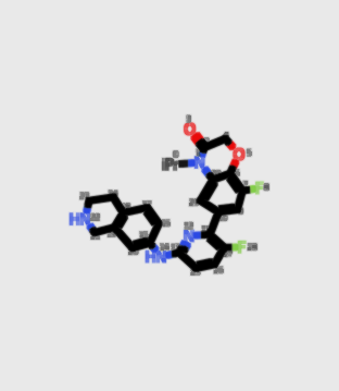 CC(C)N1C(=O)COc2c(F)cc(-c3nc(Nc4ccc5c(c4)CNCC5)ccc3F)cc21